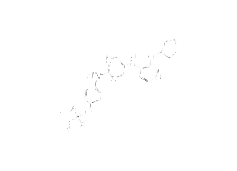 FC(F)C(F)(F)Oc1ccc(Nc2ncc(Nc3ccncc3OC3CCCC3)cn2)cc1